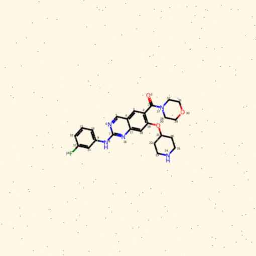 O=C(c1cc2cnc(Nc3cccc(F)c3)nc2cc1OC1CCNCC1)N1CCOCC1